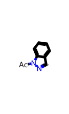 CC(=O)n1n[c]c2ccccc21